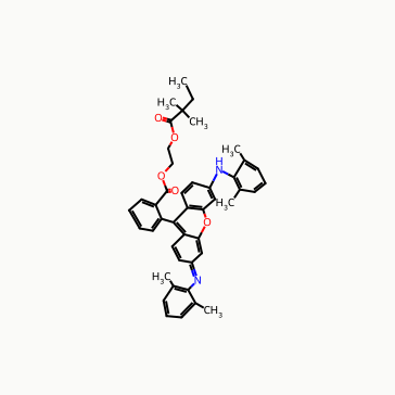 CCC(C)(C)C(=O)OCCOC(=O)c1ccccc1-c1c2cc/c(=N\c3c(C)cccc3C)cc-2oc2cc(Nc3c(C)cccc3C)ccc12